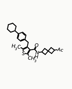 CC(=O)C1CC2(CC(NC(=O)c3c(C)sc(C)c3Cc3ccc(C4CCCCC4)cc3)C2)C1